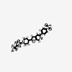 CS(=O)(=O)c1ccc(-c2cc3c(cn2)OC(C2CCN(c4nc(C(F)(F)F)no4)CC2)C3)cc1